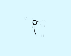 CCN(CCCS(=O)(=O)O)c1cc(OC)cc(OC)c1.[H-].[Na+]